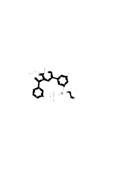 C=CC(=O)N(C)c1cc(-c2cnc3[nH]cc(-c4cccc(C#N)c4)c3c2)cc(C(F)(F)F)c1